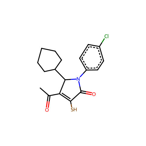 CC(=O)C1=C(S)C(=O)N(c2ccc(Cl)cc2)C1C1CCCCC1